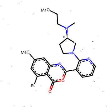 CCc1cc(OC)cc2nc(-c3cccnc3N3CC[C@@H](N(C)CCOC)C3)oc(=O)c12